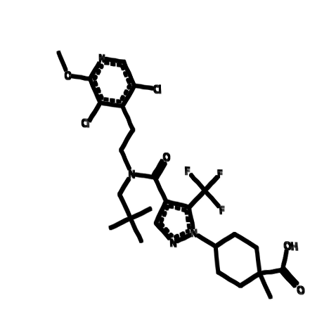 COc1ncc(Cl)c(CCN(CC(C)(C)C)C(=O)c2cnn(C3CCC(C)(C(=O)O)CC3)c2C(F)(F)F)c1Cl